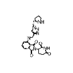 CN(Cc1cn(C[C@@H]2CCCN2)nn1)c1cccc2c1C(=O)N(C1CCC(=O)NC1=O)C2=O